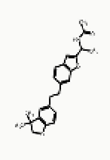 CC(=O)NC(C)c1cc2ccc(CCc3ccc4c(c3)C(C)(C)CO4)cc2o1